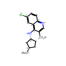 CO[C@@H]1CC[C@@H](Nc2c(C(=O)O)cnc3ccc(Br)cc23)C1